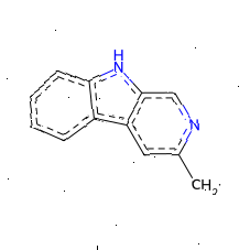 [CH2]c1cc2c(cn1)[nH]c1ccccc12